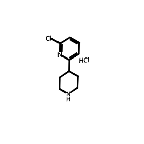 Cl.Clc1cccc(C2CCNCC2)n1